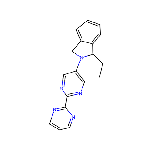 CCC1c2ccccc2CN1c1cnc(-c2ncccn2)nc1